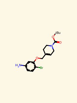 CC(C)(C)OC(=O)N1CC=C(COc2cc(N)ccc2Br)CC1